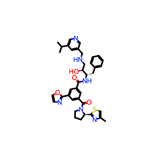 Cc1csc([C@H]2CCCN2C(=O)c2cc(C(=O)N[C@@H](Cc3ccccc3)[C@@H](O)CNCc3cncc(C(C)C)c3)cc(-c3ncco3)c2)n1